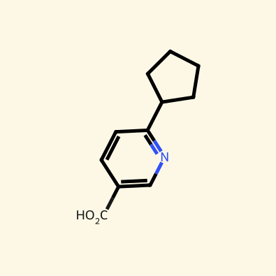 O=C(O)c1ccc(C2CCCC2)nc1